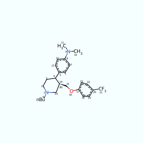 CCCCN1CCC(c2ccc(N(C)C)cc2)[C@@H](COc2ccc(C(F)(F)F)cc2)C1